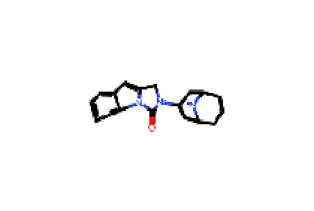 CN1C2CCCC1CC(N1Cc3cc4ccccc4n3C1=O)C2